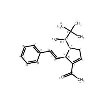 CC(=O)C1=CCN([S@@+]([O-])C(C)(C)C)[C@@H]1/C=C/c1ccccc1